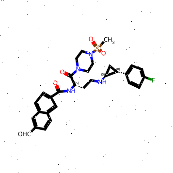 CS(=O)(=O)N1CCN(C(=O)[C@H](CCN[C@H]2C[C@@H]2c2ccc(F)cc2)NC(=O)c2ccc3cc(C=O)ccc3c2)CC1